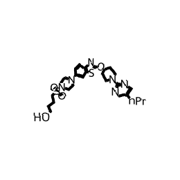 CCCc1cnc(N2CCC(Oc3nc4ccc(N5CCN(S(=O)(=O)CCCCO)CC5)cc4s3)CC2)nc1